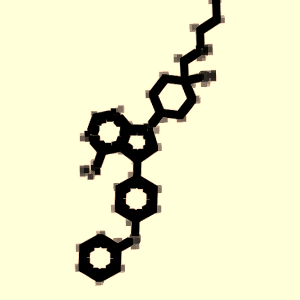 Nc1ncnc2c1c(-c1ccc(Oc3ccccc3)cc1)cn2C1CCC(O)(CNCCCO)CC1